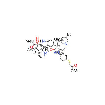 CCC1=C[C@H]2CN(C1)Cc1c([nH]c3ccc(SCC(=O)OC)cc13)[C@@](C(=O)OC)(C1C=C3C(=CC1OC)N(C)[C@H]1[C@@](O)(C(=O)OC)[C@H](OC(C)=O)[C@]4(CC)C=CCN5CC[C@]31[C@@H]54)C2